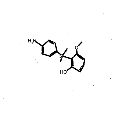 COc1cccc(O)c1[Si](C)(C)c1ccc(N)cc1